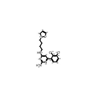 Nc1nc(NCCCCN2CC=CO2)cc(-c2cccc(Cl)c2Cl)n1